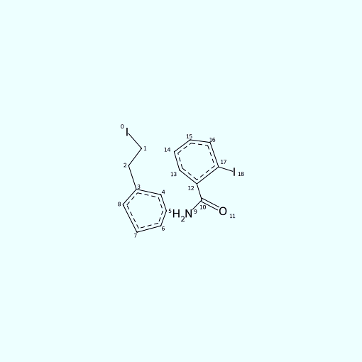 ICCc1ccccc1.NC(=O)c1ccccc1I